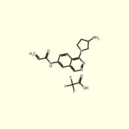 C=CC(=O)Nc1ccc2c(N3CCC(N)C3)nncc2c1.O=C(O)C(F)(F)F